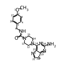 COc1ccc(CNC(=O)N2CCN(c3nc(N)nc4scnc34)CC2)cc1